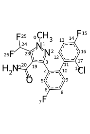 Cn1nc(-c2cc(F)ccc2-c2ccc(F)cc2Cl)c(C(N)=O)c1C(F)F